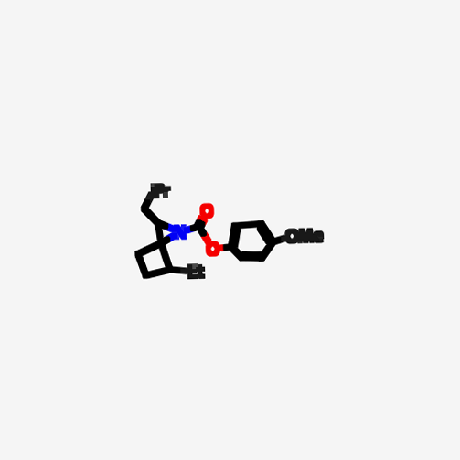 CCC1CCC12C(CC(C)C)N2C(=O)Oc1ccc(OC)cc1